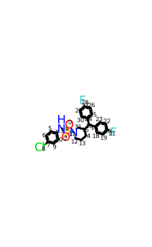 O=S(=O)(Nc1ccc(Cl)cc1)N1CCCC(C(c2ccc(F)cc2)c2ccc(F)cc2)C1